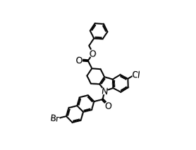 O=C(OCc1ccccc1)C1CCc2c(c3cc(Cl)ccc3n2C(=O)c2ccc3cc(Br)ccc3c2)C1